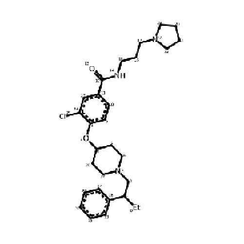 CCC(CN1CCC(Oc2ccc(C(=O)NCCCN3CCCC3)cc2Cl)CC1)c1ccccc1